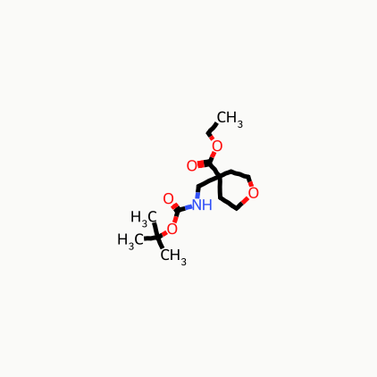 CCOC(=O)C1(CNC(=O)OC(C)(C)C)CCOCC1